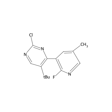 Cc1cnc(F)c(-c2nc(Cl)ncc2C(C)(C)C)c1